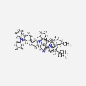 CC1CC2CC(C)C3(c4cc(C(C)C)ccc4-c4c(C#N)cc(-c5ccccc5-n5c6cc(-c7ccc8c9ccccc9n(-c9ccccc9)c8c7)ccc6c6ccc(-c7ccccn7)cc65)cc43)C(C1)C2